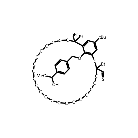 CCCC1(CC)CCCCCCCCCCCCCCCCCCCCCC(C=S)(CC)Cc2cc(C(C)(C)C)cc1c2OCc1ccc(C(O)OC)cc1